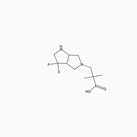 CC(C)(CN1CC2NCC(F)(F)C2C1)C(=O)O